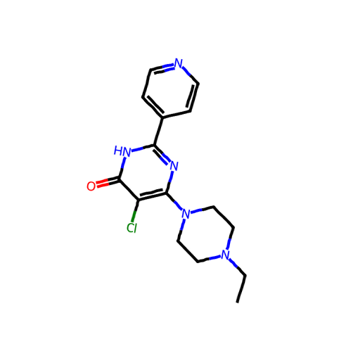 CCN1CCN(c2nc(-c3ccncc3)[nH]c(=O)c2Cl)CC1